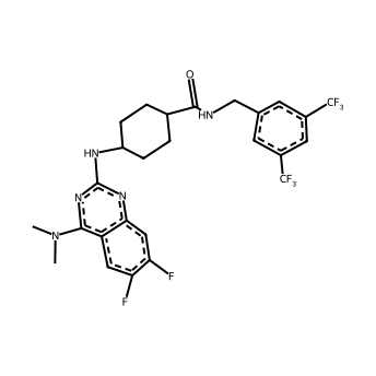 CN(C)c1nc(NC2CCC(C(=O)NCc3cc(C(F)(F)F)cc(C(F)(F)F)c3)CC2)nc2cc(F)c(F)cc12